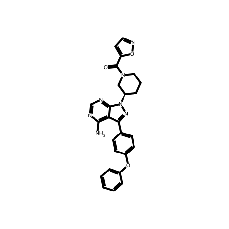 Nc1ncnc2c1c(-c1ccc(Oc3ccccc3)cc1)nn2[C@@H]1CCCN(C(=O)c2ccno2)C1